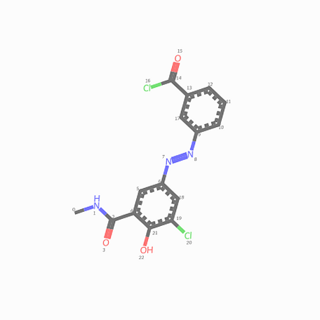 CNC(=O)c1cc(N=Nc2cccc(C(=O)Cl)c2)cc(Cl)c1O